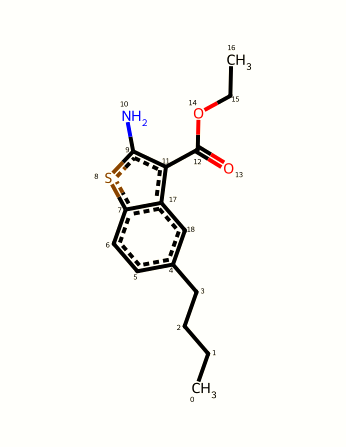 CCCCc1ccc2sc(N)c(C(=O)OCC)c2c1